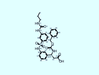 CCCNC(=O)Nc1cccc(S(=O)(=O)Nc2cccc([C@H](CC(=O)O)NC(=O)OCc3ccccc3)c2)c1